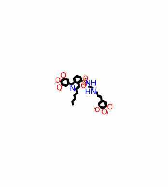 CCCCCc1cc2c(S(=O)(=O)NCCNCC=Cc3cc(OC)c(OC)c(OC)c3)cccc2c(-c2cc(OC)c(OC)c(OC)c2)n1